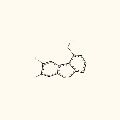 CCc1cccc2oc3cc(F)c(F)cc3c12